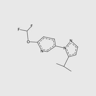 CC(C)c1ccnn1-c1ccc(OC(F)F)nc1